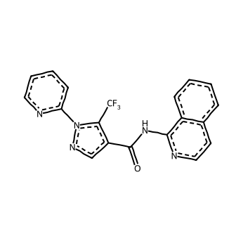 O=C(Nc1nccc2ccccc12)c1cnn(-c2ccccn2)c1C(F)(F)F